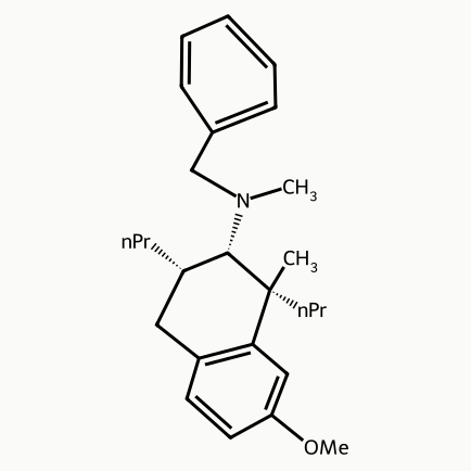 CCC[C@H]1Cc2ccc(OC)cc2[C@@](C)(CCC)[C@H]1N(C)Cc1ccccc1